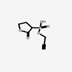 C#CCOP(=O)(O)C1CCOC1=O